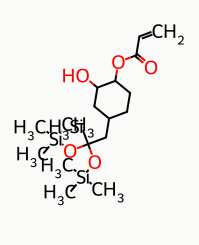 C=CC(=O)OC1CCC(CC([SiH3])(O[Si](C)(C)C)O[Si](C)(C)C)CC1O